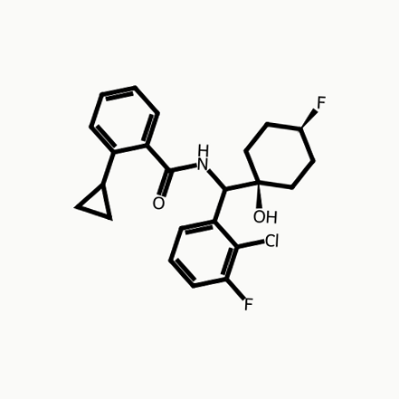 O=C(NC(c1cccc(F)c1Cl)[C@]1(O)CC[C@@H](F)CC1)c1ccccc1C1CC1